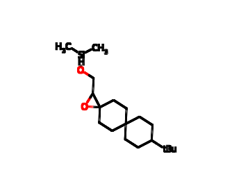 C[SiH](C)OCC1OC12CCC1(CCC(C(C)(C)C)CC1)CC2